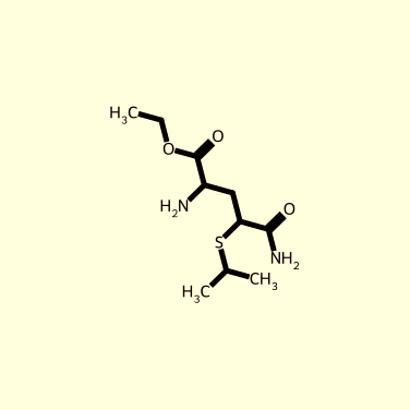 CCOC(=O)C(N)CC(SC(C)C)C(N)=O